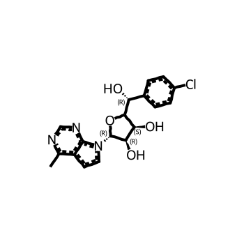 Cc1ncnc2c1ccn2[C@@H]1OC([C@H](O)c2ccc(Cl)cc2)[C@@H](O)[C@H]1O